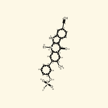 C#Cc1ccc2c(c1)[nH]c1c2c(=O)c2cc(C)c(-c3cccc(OS(=O)(=O)F)c3)cc2n1CC